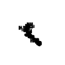 CCn1c(CNC(=O)c2nc(Cl)c(N)nc2N)[n+](CC)c2ccc(OCCNC(=O)CN3CCOCC3)cc21